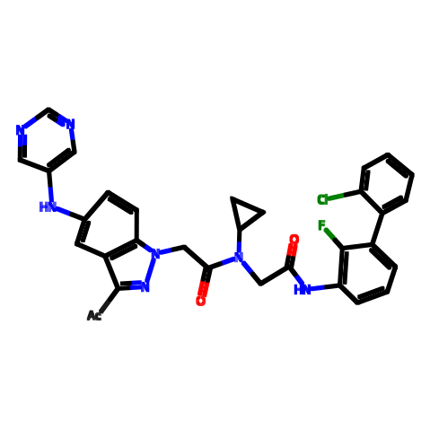 CC(=O)c1nn(CC(=O)N(CC(=O)Nc2cccc(-c3ccccc3Cl)c2F)C2CC2)c2ccc(Nc3cncnc3)cc12